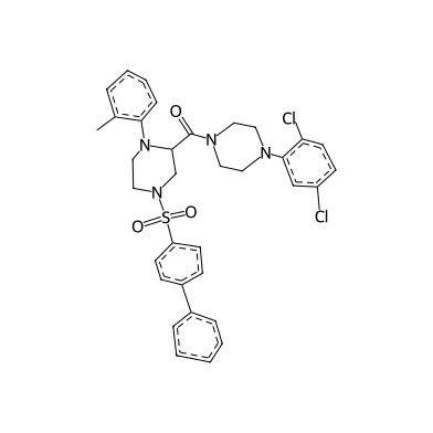 Cc1ccccc1N1CCN(S(=O)(=O)c2ccc(-c3ccccc3)cc2)CC1C(=O)N1CCN(c2cc(Cl)ccc2Cl)CC1